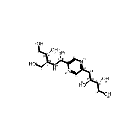 CCC[C@@H](N[C@@H](CO)[C@@H](O)CO)c1cnc(C[C@H](O)[C@H](O)CO)cn1